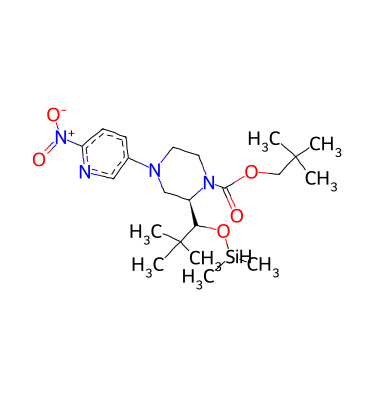 C[SiH](C)OC([C@H]1CN(c2ccc([N+](=O)[O-])nc2)CCN1C(=O)OCC(C)(C)C)C(C)(C)C